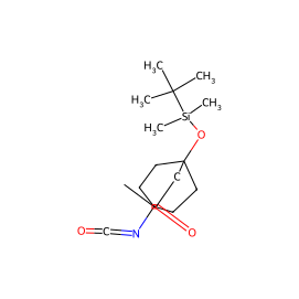 CC(C)(C)[Si](C)(C)OC12CCC(N=C=O)(CC1)C(=O)C2